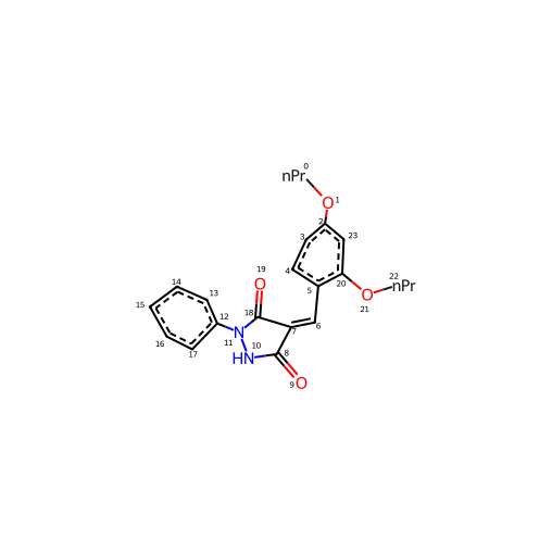 CCCOc1ccc(C=C2C(=O)NN(c3ccccc3)C2=O)c(OCCC)c1